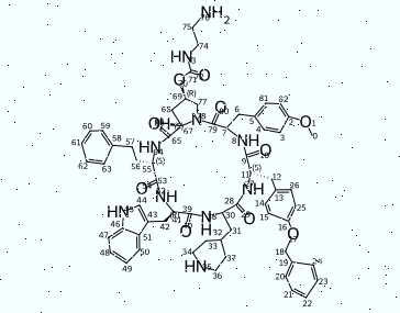 COc1ccc(CC2NC(=O)[C@H](Cc3ccc(OCc4ccccc4)cc3)NC(=O)C(CC3CCNCC3)NC(=O)[C@@H](Cc3c[nH]c4ccccc34)NC(=O)[C@H](CCc3ccccc3)NC(=O)[C@@H]3C[C@@H](OC(=O)NCCN)CN3C2=O)cc1